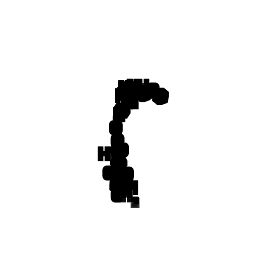 C=C1CCC(N2C(=O)c3ccc(NC(=O)COCCOCCN4CCC(n5nc(-c6ccc(Oc7ccccc7)cc6)c6c(N)ncnc65)CC4)cc3C2=O)C(=O)N1